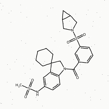 CS(=O)(=O)Nc1ccc2c(c1)C1(CCCCC1)CN2C(=O)c1cccc(S(=O)(=O)N2CC3CC3C2)c1